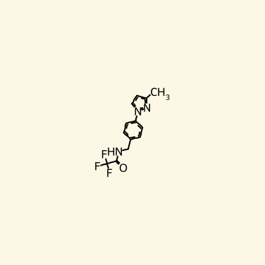 Cc1ccn(-c2ccc(CNC(=O)C(F)(F)F)cc2)n1